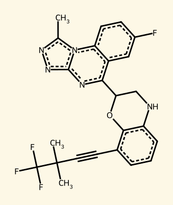 Cc1nnc2nc(C3CNc4cccc(C#CC(C)(C)C(F)(F)F)c4O3)c3cc(F)ccc3n12